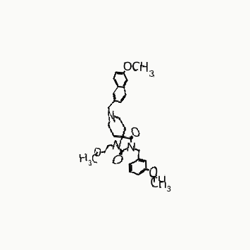 COCCN1C(=O)N(Cc2cccc(OC)c2)C(=O)C12CCN(Cc1ccc3cc(OC)ccc3c1)CC2